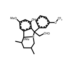 COc1cc(O)c(C(CC=O)(c2cccc(OC(F)(F)F)c2)N2CC(C)CC(C)C2)c(OC)c1